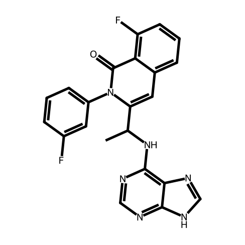 CC(Nc1ncnc2[nH]cnc12)c1cc2cccc(F)c2c(=O)n1-c1cccc(F)c1